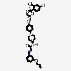 C=CCOc1cccc(/C=C/C(=O)NN2CCN(c3ccc(OC[C@@H]4CO[C@](C)(c5ccc(Cl)cc5Cl)O4)cc3)CC2)c1